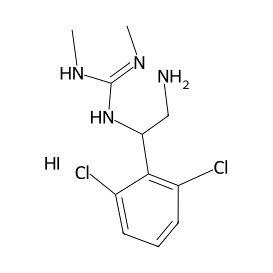 CN=C(NC)NC(CN)c1c(Cl)cccc1Cl.I